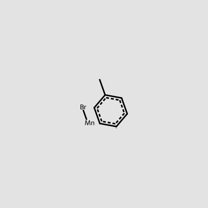 Cc1cc[c]cc1.[Mn][Br]